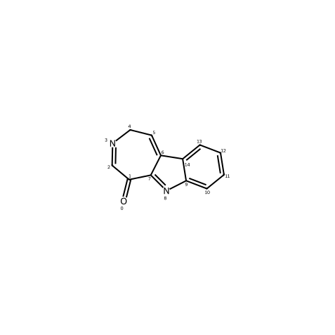 O=C1C=NCC=C2C1=Nc1ccccc12